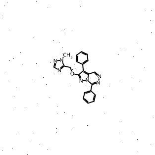 Cn1ncnc1COc1nn2c(-c3ccccc3)nncc2c1-c1ccccc1